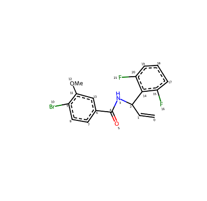 C=CC(NC(=O)c1ccc(Br)c(OC)c1)c1c(F)cccc1F